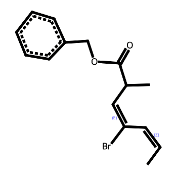 C/C=C\C(Br)=C/C(C)C(=O)OCc1ccccc1